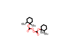 CC(C)(C)C1CCCCC1(OC(=O)OOC(=O)OC1(C(C)(C)C)CCCCC1C(C)(C)C)C(C)(C)C